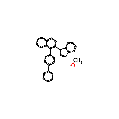 C1=CC(c2ccc3ccccc3c2-c2ccc(-c3ccccc3)cc2)c2ccccc21.C[O]